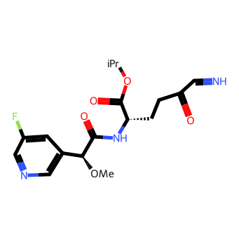 CO[C@H](C(=O)N[C@@H](CCC(=O)C=N)C(=O)OC(C)C)c1cncc(F)c1